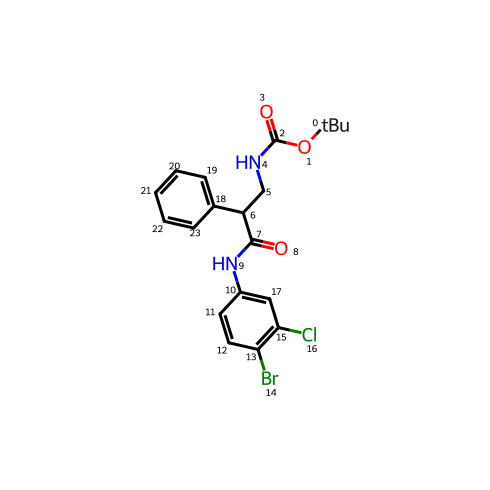 CC(C)(C)OC(=O)NCC(C(=O)Nc1ccc(Br)c(Cl)c1)c1ccccc1